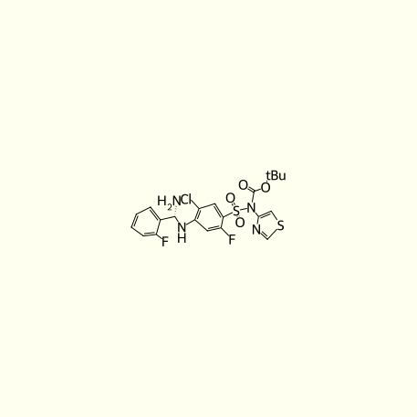 CC(C)(C)OC(=O)N(c1cscn1)S(=O)(=O)c1cc(Cl)c(N[C@@H](N)c2ccccc2F)cc1F